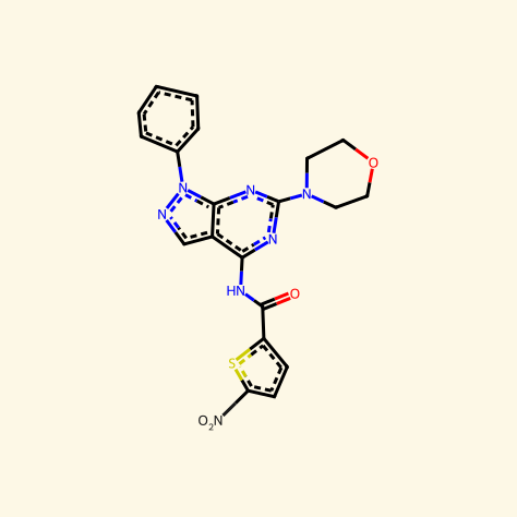 O=C(Nc1nc(N2CCOCC2)nc2c1cnn2-c1ccccc1)c1ccc([N+](=O)[O-])s1